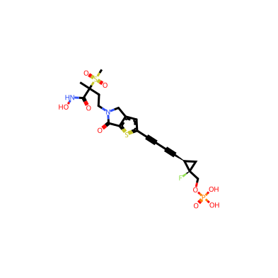 CC(CCN1Cc2cc(C#CC#C[C@H]3C[C@]3(F)COP(=O)(O)O)sc2C1=O)(C(=O)NO)S(C)(=O)=O